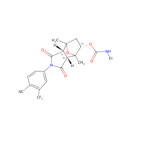 CCNC(=O)O[C@H]1CC2(C)OC1(C)[C@@H]1C(=O)N(c3ccc(C#N)c(C(F)(F)F)c3)C(=O)[C@@H]12